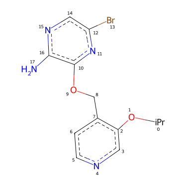 CC(C)Oc1cnccc1COc1nc(Br)cnc1N